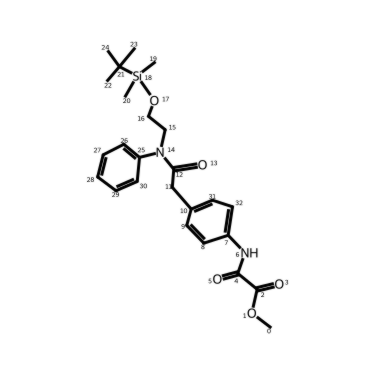 COC(=O)C(=O)Nc1ccc(CC(=O)N(CCO[Si](C)(C)C(C)(C)C)c2ccccc2)cc1